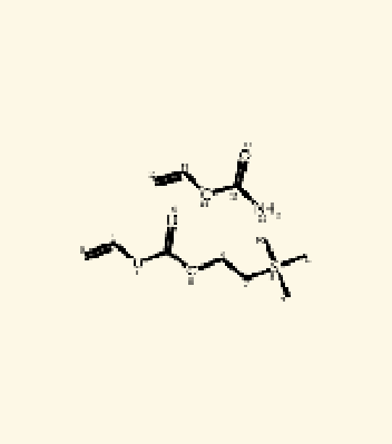 C=COC(=O)OCC[Si](C)(C)C.C=COC(N)=O